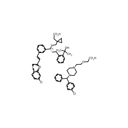 CC(C)(O)c1ccccc1CC[C@@H](SCC1(CC(=O)O)CC1)c1cccc(/C=C/c2ccc3ccc(Cl)cc3n2)c1.O=C(O)COCCN1CCN(C(c2ccccc2)c2ccc(Cl)cc2)CC1